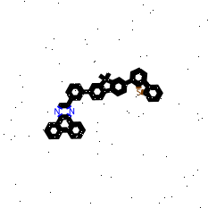 CC1(C)c2cc(-c3cccc(-c4cnc5c6ccccc6c6ccccc6c5n4)c3)ccc2-c2ccc(-c3cccc4c3sc3ccccc34)cc21